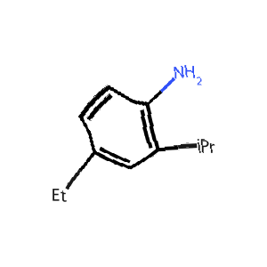 CCc1ccc(N)c(C(C)C)c1